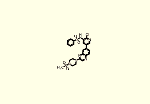 CS(=O)(=O)N1CCN(c2cnc3ccc(-c4cnc(Cl)c(NS(=O)(=O)c5ccccc5)c4)cc3n2)CC1